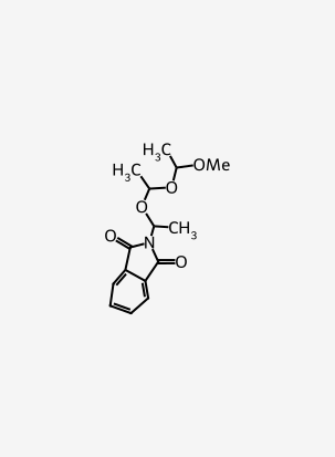 COC(C)OC(C)OC(C)N1C(=O)c2ccccc2C1=O